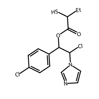 CCC(S)C(=O)OC(c1ccc(Cl)cc1)C(Cl)n1ccnc1